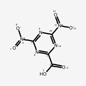 O=C(O)c1nc([N+](=O)[O-])nc([N+](=O)[O-])n1